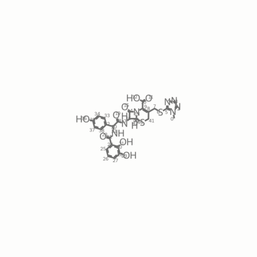 Cn1nnnc1SCC1=C(C(=O)O)N2C(=O)C(NC(=O)C(NC(=O)c3cccc(O)c3O)c3ccc(O)cc3)[C@H]2SC1